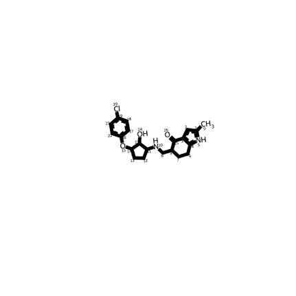 Cc1cc2c([nH]1)CCC(CNC1CCC(Oc3ccc(Cl)cc3)C1O)C2=O